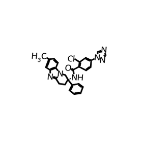 Cc1ccc2c(c1)nc1n2C[C@@](NC(=O)c2ccc(-n3cncn3)cc2Cl)(c2ccccc2)CC1